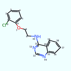 Clc1ccccc1OCCNc1ncnc2ccccc12